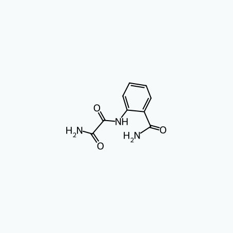 NC(=O)C(=O)Nc1ccccc1C(N)=O